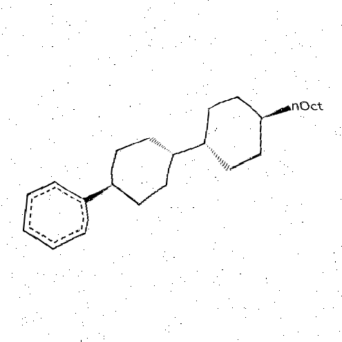 CCCCCCCC[C@H]1CC[C@H]([C@H]2CC[C@H](c3ccccc3)CC2)CC1